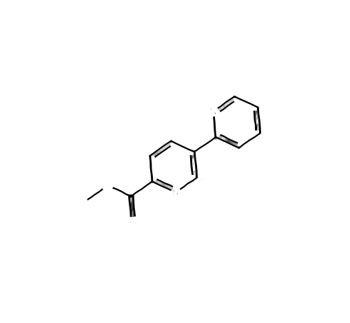 COC(=O)c1ccc(-c2ccccn2)cn1